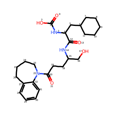 O=C(O)NC(CC1CCCCC1)C(=O)NC(CO)CCC(=O)N1CCCCc2ccccc21